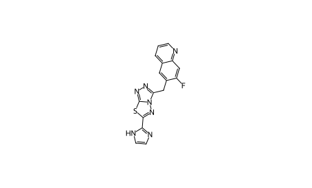 Fc1cc2ncccc2cc1Cc1nnc2sc(-c3ncc[nH]3)nn12